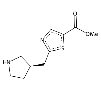 COC(=O)c1cnc(C[C@H]2CCNC2)s1